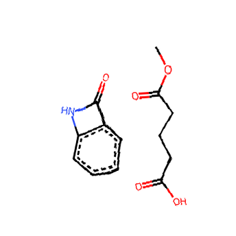 COC(=O)CCCC(=O)O.O=C1Nc2ccccc21